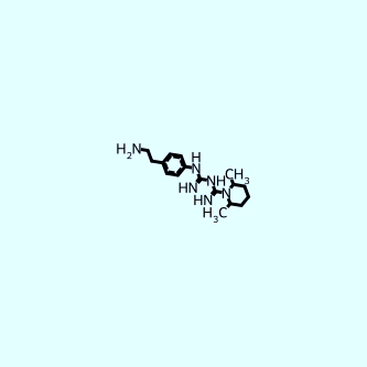 CC1CCCC(C)N1C(=N)NC(=N)Nc1ccc(CCN)cc1